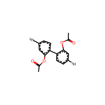 [2H]c1ccc(-c2ccc([2H])cc2OC(C)=O)c(OC(C)=O)c1